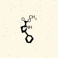 COC(=O)c1ccc(C2C=CC=CC2)[nH]1